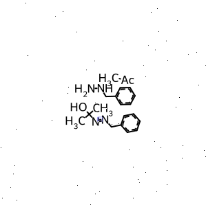 CC(C)(O)/N=N/Cc1ccccc1.CC(C)=O.NNCc1ccccc1